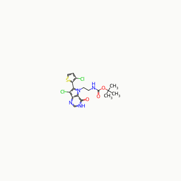 CC(C)(C)OC(=O)NCCn1c(-c2sccc2Cl)c(Cl)c2nc[nH]c(=O)c21